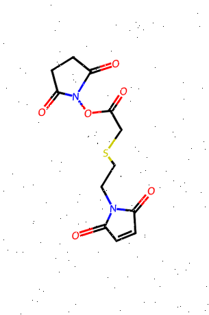 O=C(CSCCN1C(=O)C=CC1=O)ON1C(=O)CCC1=O